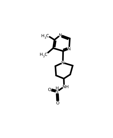 Cc1ncnc(N2CCC(N[SH](=O)=O)CC2)c1C